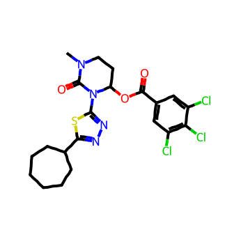 CN1CCC(OC(=O)c2cc(Cl)c(Cl)c(Cl)c2)N(c2nnc(C3CCCCCC3)s2)C1=O